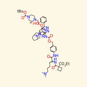 CCOC(=O)C1(C(=O)N[C@@H](CCCCN(C)C)C(=O)Nc2ccc(COC(=O)Nc3nnc(-c4ccccc4O)cc3N3CC4CCC(C3)N4c3ccnc(OCCN4CCN(C(=O)OC(C)(C)C)C[C@H]4C)c3)cc2)CCC1